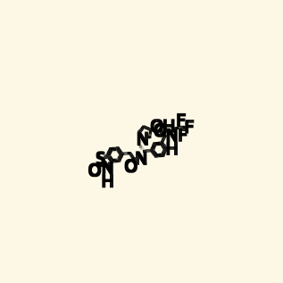 CN(C(=O)Cc1ccc2sc(=O)[nH]c2c1)[C@H](CN1CCC(O)C1)c1cccc(C(=O)NCC(F)(F)F)c1